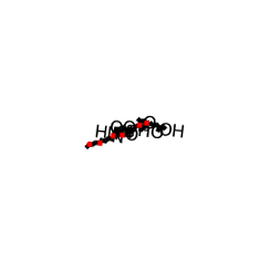 CCCCCCCCCC1=NC2(CCN(S(=O)(=O)CCc3c(C)cc(OCCC(O)CO)cc3C)CC2)C(=O)N1